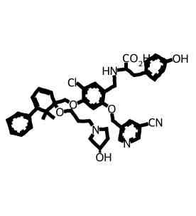 CC1(C)C(c2ccccc2)=CC=CC1(COc1cc(OCc2cncc(C#N)c2)c(CNC(Cc2ccc(O)cc2)C(=O)O)cc1Cl)OCCCN1CC[C@@H](O)C1